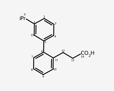 CC(C)c1cccc(-c2ccccc2CCC(=O)O)c1